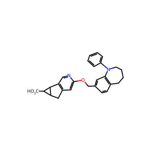 O=C(O)C1C2Cc3cc(OCc4ccc5c(c4)N(c4ccccc4)CCCC5)ncc3C21